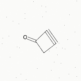 O=C1C#CC1